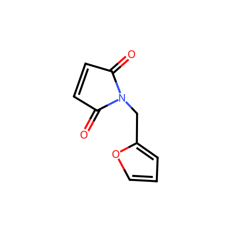 O=C1C=CC(=O)N1Cc1ccco1